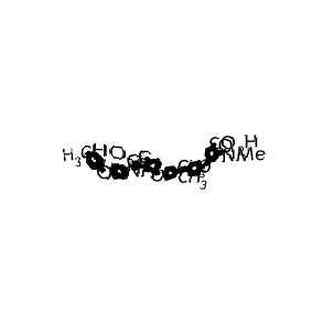 CNC(=O)c1cc(Oc2ccc(C(C)(C)c3ccc(Oc4ccc(C(=O)O)c(C(=O)Nc5ccc(Oc6ccc(C)cc6)cc5)c4)cc3)cc2)ccc1C(=O)O